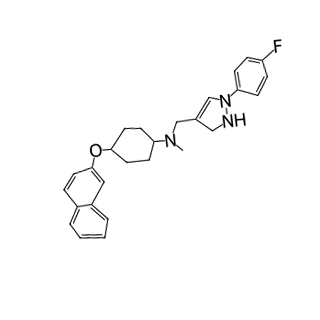 CN(CC1=CN(c2ccc(F)cc2)NC1)C1CCC(Oc2ccc3ccccc3c2)CC1